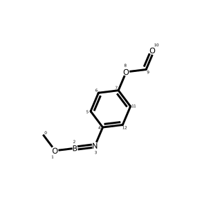 CO/B=N/c1ccc(OC=O)cc1